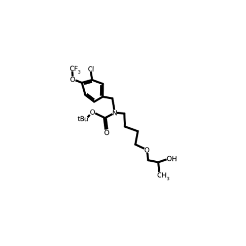 CC(O)COCCCCN(Cc1ccc(OC(F)(F)F)c(Cl)c1)C(=O)OC(C)(C)C